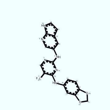 FC(F)(F)c1cnc(Nc2cnc3[nH]ccc3c2)nc1Nc1ccc2c(c1)OCO2